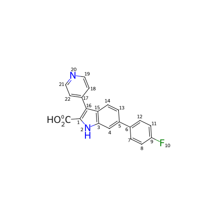 O=C(O)c1[nH]c2cc(-c3ccc(F)cc3)ccc2c1-c1ccncc1